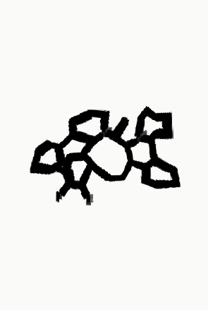 C=C1C2C(CCc3c(cc(F)c(F)c3F)-c3c(-c4ccccc4)ccc[n+]31)c1ccccc1-c1cccc[n+]12